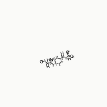 O=CNc1cc2ccc(NC[SH](=O)=O)cc2[nH]1